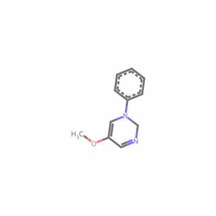 COC1=CN(c2ccccc2)CN=C1